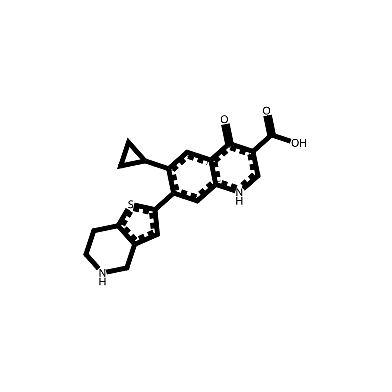 O=C(O)c1c[nH]c2cc(-c3cc4c(s3)CCNC4)c(C3CC3)cc2c1=O